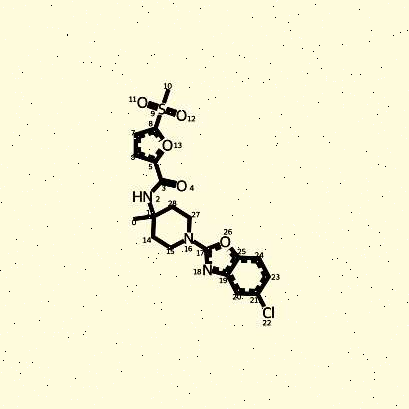 CC1(NC(=O)c2ccc(S(C)(=O)=O)o2)CCN(c2nc3cc(Cl)ccc3o2)CC1